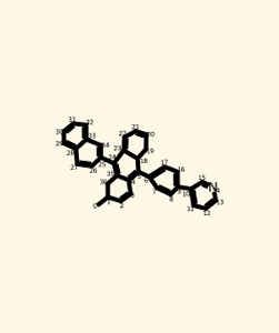 CC1C=CC2=C(c3ccc(-c4cccnc4)cc3)C3CC=CC=C3C(c3ccc4ccccc4c3)=C2C1